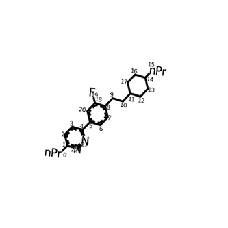 CCCc1ccc(-c2ccc(CCC3CCC(CCC)CC3)c(F)c2)nn1